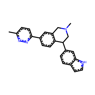 Cc1ccc(-c2ccc3c(c2)CN(C)CC3c2ccc3cc[nH]c3c2)nn1